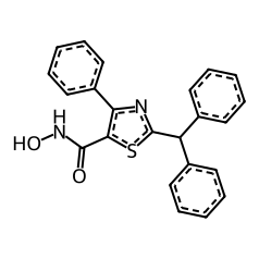 O=C(NO)c1sc(C(c2ccccc2)c2ccccc2)nc1-c1ccccc1